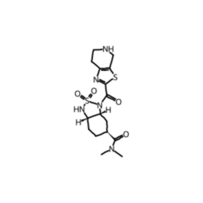 CN(C)C(=O)[C@H]1CC[C@@H]2NS(=O)(=O)N(C(=O)c3nc4c(s3)CNCC4)[C@@H]2C1